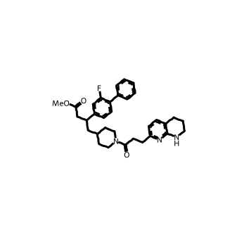 COC(=O)CC(CC1CCN(C(=O)CCc2ccc3c(n2)NCCC3)CC1)c1ccc(-c2ccccc2)c(F)c1